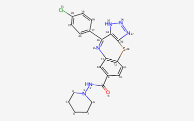 O=C(NN1CCCCC1)c1ccc2c(c1)N=C(c1ccc(Cl)cc1)c1[nH]nnc1S2